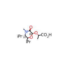 CC(O[C@H]1OC(C(C)C)[C@H](C(C)C)N(C)C1=O)C(=O)O